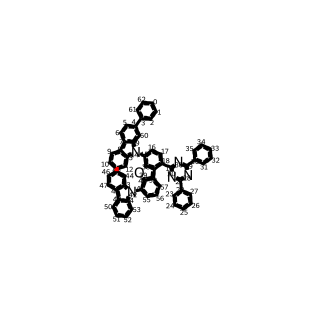 c1ccc(-c2ccc3c4ccccc4n(-c4ccc(-c5nc(-c6ccccc6)nc(-c6ccccc6)n5)c5c4oc4c(-n6c7ccccc7c7ccccc76)cccc45)c3c2)cc1